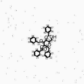 C[C@@H](O)[C@H]1O[C@](O)(Cc2ccccc2)[C@H](OCc2ccccc2)[C@@H](OCc2ccccc2)[C@@H]1OCc1ccccc1